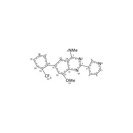 CNc1nc(-c2cccnc2)nc2c(OC)cc(-c3ccccc3C(F)(F)F)cc12